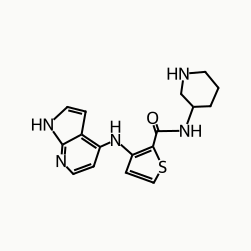 O=C(NC1CCCNC1)c1sccc1Nc1ccnc2[nH]ccc12